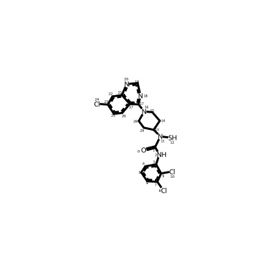 O=C(Nc1cccc(Cl)c1Cl)N(S)C1CCN(c2ncnc3cc(Cl)ccc23)CC1